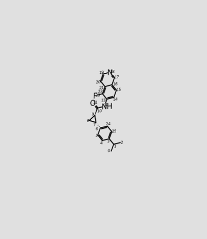 CC(C)c1ccc([C@@H]2C[C@H]2C(=O)Nc2ccc3cnccc3c2F)cc1